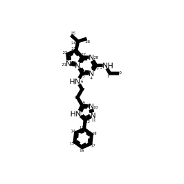 CCNc1nc(NCCc2nnc(-c3ccccc3)[nH]2)n2ncc(C(C)C)c2n1